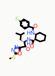 CSc1nnc(C(=O)[C@H](CC(C)C)NC(=O)[C@@H]2CCCC[C@@H]2NC(=O)c2ccc(F)cc2)o1